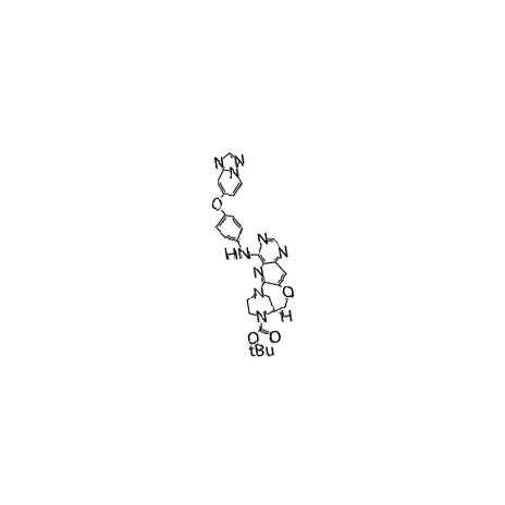 CC(C)(C)OC(=O)N1CCN2C[C@H]1COc1cc3ncnc(Nc4ccc(Oc5ccn6ncnc6c5)cc4)c3nc12